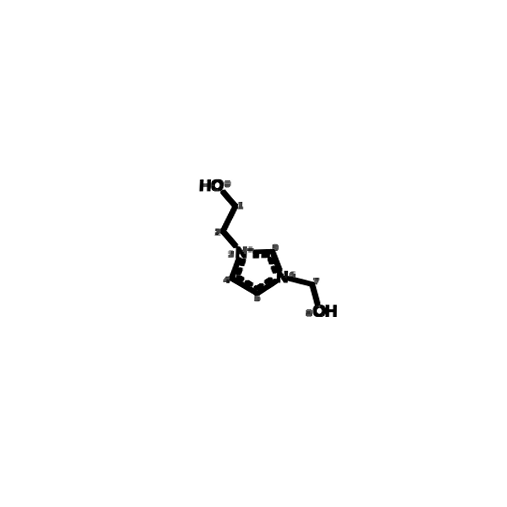 OCC[n+]1ccn(CO)c1